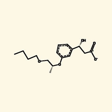 CCCCOC[C@@H](C)Oc1cccc([C@H](O)C[N+](=O)[O-])c1